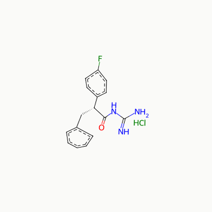 Cl.N=C(N)NC(=O)[C@H](Cc1ccccc1)c1ccc(F)cc1